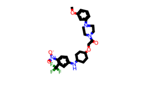 COc1cccc(N2CCN(C(=O)COC3CCC(Nc4ccc([N+](=O)[O-])c(C(F)(F)F)c4)CC3)CC2)c1